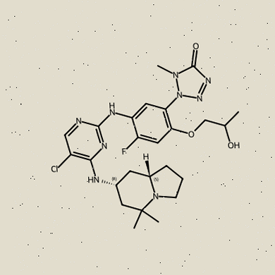 CC(O)COc1cc(F)c(Nc2ncc(Cl)c(N[C@@H]3C[C@@H]4CCCN4C(C)(C)C3)n2)cc1-n1nnc(=O)n1C